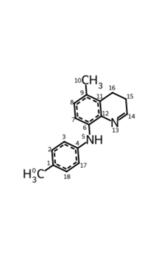 Cc1ccc(Nc2ccc(C)c3c2N=CCC3)cc1